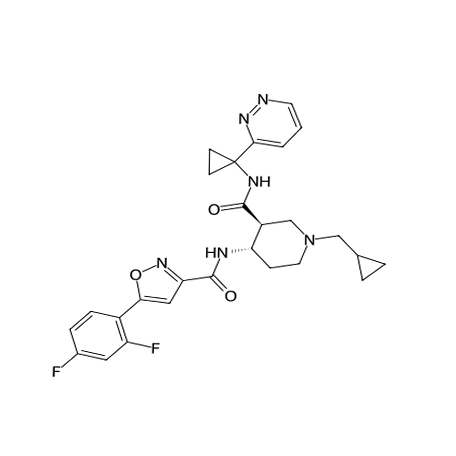 O=C(N[C@H]1CCN(CC2CC2)C[C@@H]1C(=O)NC1(c2cccnn2)CC1)c1cc(-c2ccc(F)cc2F)on1